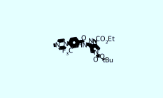 CCOC(=O)n1nc(NC(=O)c2ccc(N3CCN(C)CC3)c(C(F)(F)F)c2)c2c1CN(C(=O)OC(C)(C)C)C2